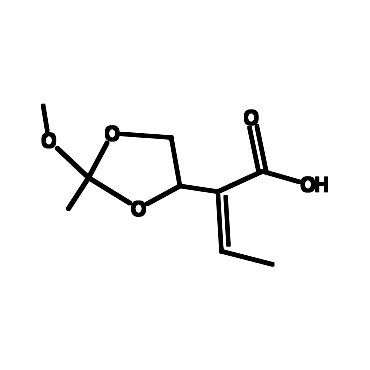 CC=C(C(=O)O)C1COC(C)(OC)O1